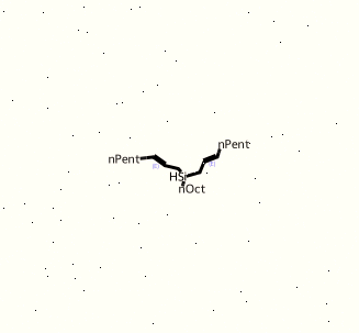 CCCCC/C=C/C[SiH](C/C=C/CCCCC)CCCCCCCC